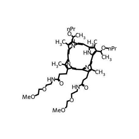 CCCOC(C)c1c(C)c2cc3[nH]c(cc4nc(cc5nc(cc1[nH]2)C(C)=C5CCC(=O)NCCOCCOC)C(CCC(=O)NCCOCCOC)=C4C)c(C)c3C(C)OCCC